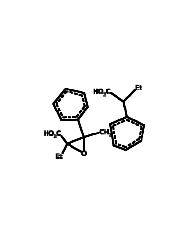 CCC(C(=O)O)c1ccccc1.CCC1(C(=O)O)OC1(C)c1ccccc1